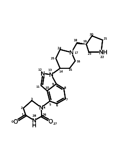 O=C1CCN(c2cccc3c2cnn3C2CCN(C[C@H]3CCNC3)CC2)C(=O)N1